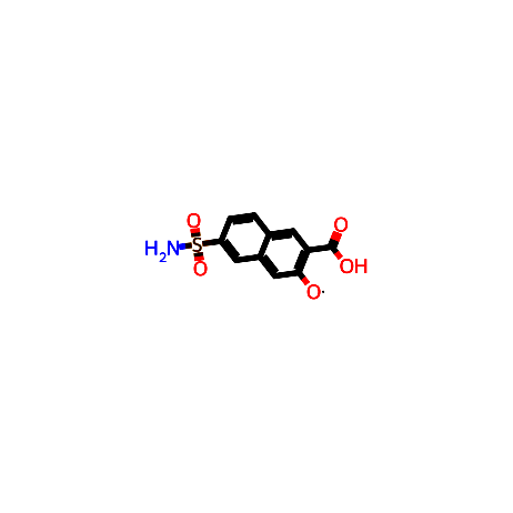 NS(=O)(=O)c1ccc2cc(C(=O)O)c([O])cc2c1